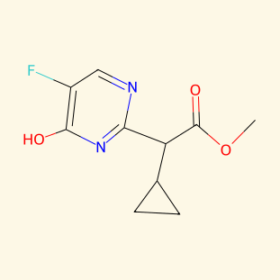 COC(=O)C(c1ncc(F)c(O)n1)C1CC1